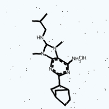 CC(C)CNC1N(C)c2nc(C3CC4CCC3C4)nc(N)c2N1C.Cl